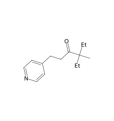 CCC(C)(CC)C(=O)CCc1ccncc1